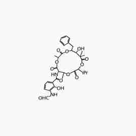 CC1OC(=O)C(NC(=O)c2cccc(NC=O)c2O)C(C)OC(=O)C(C(C)C)OC(=O)C(C)(C)C(O)C(Cc2ccccc2)OC1=O